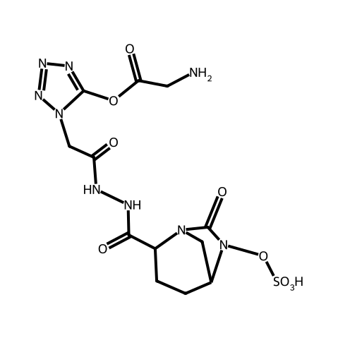 NCC(=O)Oc1nnnn1CC(=O)NNC(=O)C1CCC2CN1C(=O)N2OS(=O)(=O)O